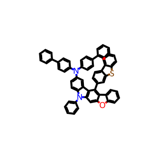 c1ccc(-c2ccc(N(c3ccc(-c4ccccc4)cc3)c3ccc4c(c3)c3c(-c5ccc6c(c5)sc5ccccc56)c5c(cc3n4-c3ccccc3)oc3ccccc35)cc2)cc1